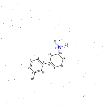 Cc1cccc(C2=CCC[C@@H](N(C)C)C2)c1